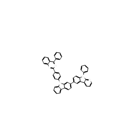 c1ccc(-c2nc(-c3ccc(-n4c5ccccc5c5ccc(-c6ccc7c(c6)c6cccnc6n7-c6ccccc6)cc54)cc3)nc3ccccc23)cc1